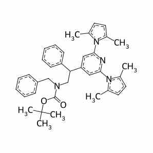 Cc1ccc(C)n1-c1cc(C(CN(Cc2ccccc2)C(=O)OC(C)(C)C)c2ccccc2)cc(-n2c(C)ccc2C)n1